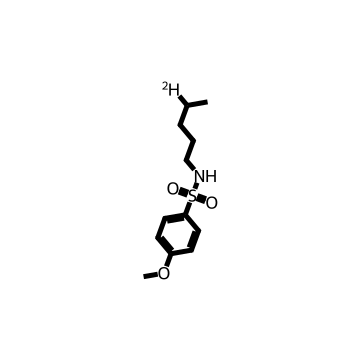 [2H]C(C)CCCNS(=O)(=O)c1ccc(OC)cc1